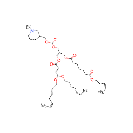 CC/C=C\CCCCOC(CCC(=O)OCC(COC(=O)CCCCCC(=O)OCC/C=C\CCCC)COC(=O)OCC1CCCN(CC)C1)OCCCC/C=C\CC